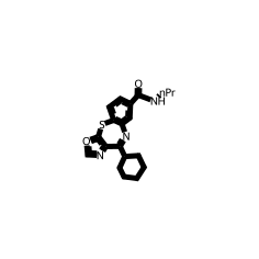 CCCNC(=O)c1ccc2c(c1)N=C(C1CCCCC1)c1ncoc1S2